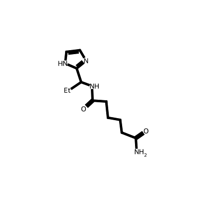 CCC(NC(=O)CCCCC(N)=O)c1ncc[nH]1